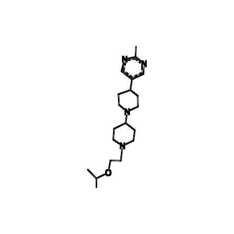 Cc1ncc(C2CCN(C3CCN(CCOC(C)C)CC3)CC2)cn1